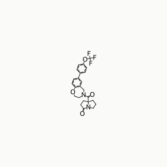 O=C1CCC2(C(=O)N3CCOc4ccc(-c5ccc(OC(F)(F)F)cc5)cc4C3)CCCN12